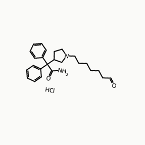 Cl.NC(=O)C(c1ccccc1)(c1ccccc1)C1CCN(CCCCCCC=O)C1